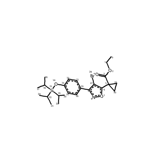 CCOC(=O)C1(c2onc(-c3ccc(O[Si](C(C)C)(C(C)C)C(C)C)cc3)c2Br)CC1